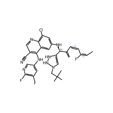 C=C(/C=C\C(F)=C/C)[C@H](Nc1cc(Cl)c2ncc(C#N)c(Nc3cnc(F)c(F)c3)c2c1)C1=CN(CC(C)(C)C)NN1